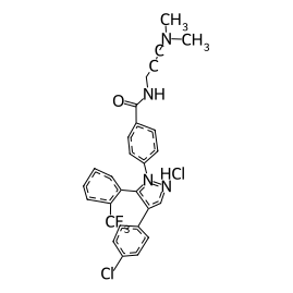 CN(C)CCCNC(=O)c1ccc(-n2ncc(-c3ccc(Cl)cc3)c2-c2ccccc2C(F)(F)F)cc1.Cl